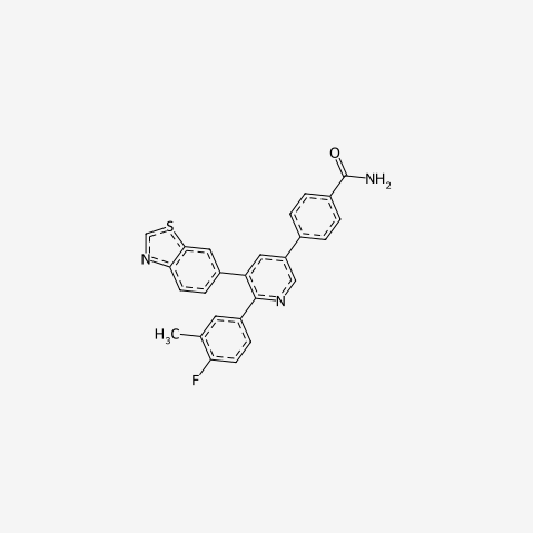 Cc1cc(-c2ncc(-c3ccc(C(N)=O)cc3)cc2-c2ccc3ncsc3c2)ccc1F